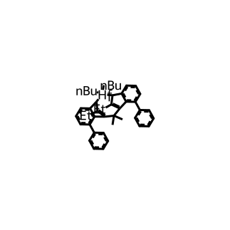 CCC[CH2][Hf]1([CH2]CCC)[CH]2C(CC)=C(c3c(-c4ccccc4)cccc32)C(C)(C)C2=C(CC)[CH]1c1cccc(-c3ccccc3)c12